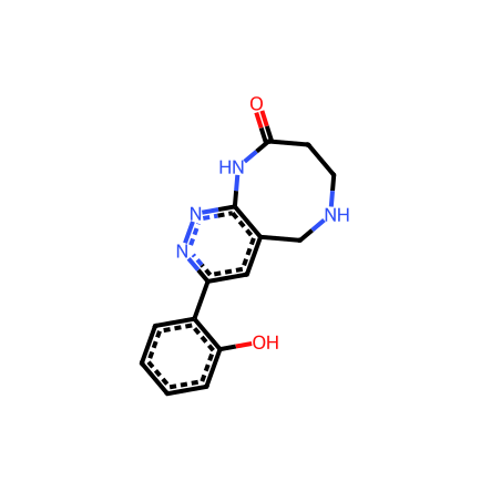 O=C1CCNCc2cc(-c3ccccc3O)nnc2N1